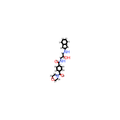 O=C(NCC(O)CNC1Cc2ccccc2C1)c1ccc(C(=O)N2CCOCC2)cc1